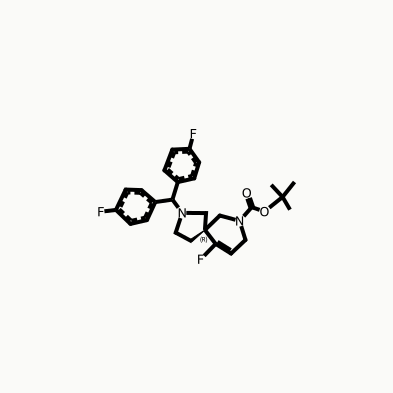 CC(C)(C)OC(=O)N1CC=C(F)[C@@]2(CCN(C(c3ccc(F)cc3)c3ccc(F)cc3)C2)C1